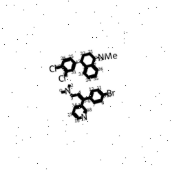 CN(C)C/C=C(/c1ccc(Br)cc1)c1cccnc1.CN[C@H]1CC[C@@H](c2ccc(Cl)c(Cl)c2)c2ccccc21